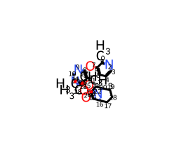 Cc1ncccc1Oc1ncnc(OC2CC3CCCC(C2)N3C(=O)OC(C)(C)C)c1C